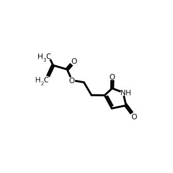 C=C(C)C(=O)OCCC1=CC(=O)NC1=O